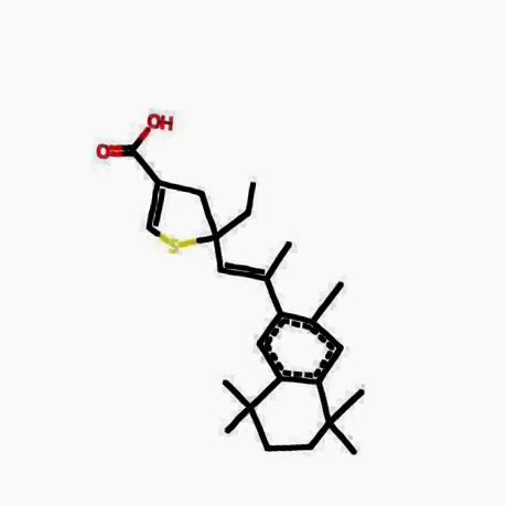 CCC1(/C=C(\C)c2cc3c(cc2C)C(C)(C)CCC3(C)C)CC(C(=O)O)=CS1